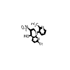 CCc1ccc2c(n1)N(c1cccnc1C)CC([N+](=O)[O-])=C2O